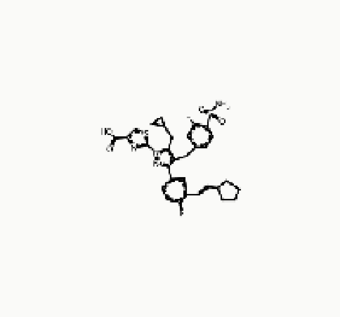 NS(=O)(=O)c1ccc(Cc2c(-c3ccc(F)c(C=CC4CCCC4)c3)nn(-c3nc(C(=O)O)cs3)c2CC2CC2)cc1F